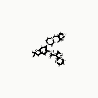 Cc1nocc1CN1CCN(c2cc3c(cc2NC(=O)c2cnn4cccnc24)CC(C)(C)O3)CC1